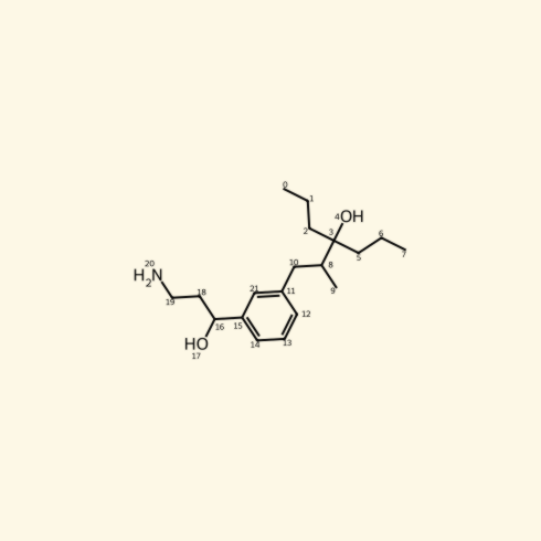 CCCC(O)(CCC)C(C)Cc1cccc(C(O)CCN)c1